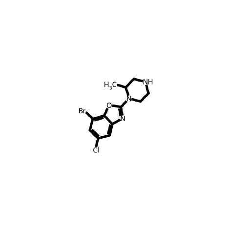 CC1CNCCN1c1nc2cc(Cl)cc(Br)c2o1